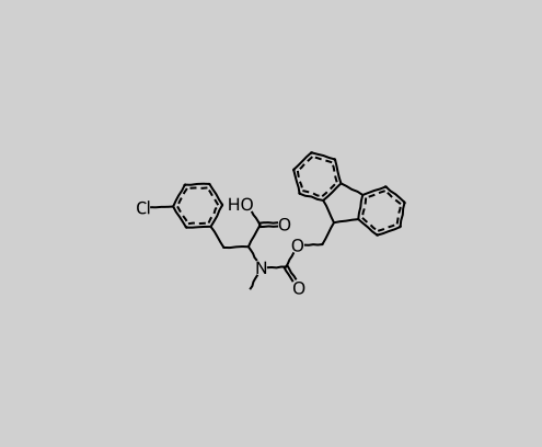 CN(C(=O)OCC1c2ccccc2-c2ccccc21)C(Cc1cccc(Cl)c1)C(=O)O